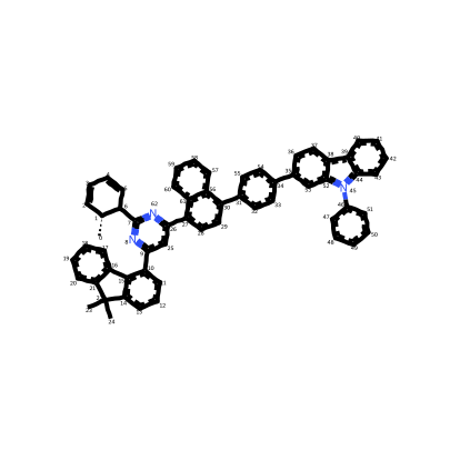 C[C@@H]1C=CC=CC1c1nc(-c2cccc3c2-c2ccccc2C3(C)C)cc(-c2ccc(-c3ccc(-c4ccc5c6ccccc6n(-c6ccccc6)c5c4)cc3)c3ccccc23)n1